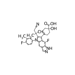 Cc1cc(-n2c(C(C)(C)CC#N)c(C3CCC(O)(C(=O)O)CC3)c3c(F)c4[nH]ncc4cc32)ccc1F